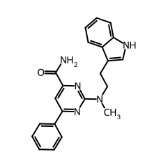 CN(CCc1c[nH]c2ccccc12)c1nc(C(N)=O)cc(-c2ccccc2)n1